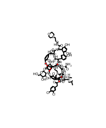 CN[C@H](CC(C)C)C(=O)N[C@H]1C(=O)N[C@@H](CC(N)=O)C(=O)N[C@H]2C(=O)N[C@H]3C(=O)N[C@H](C(=O)N[C@@H](C(=O)NOCCN4CCOCC4)c4cc(O)cc(O)c4-c4cc3ccc4O)[C@H](O)c3ccc(c(Cl)c3)Oc3cc2cc(c3O[C@@H]2O[C@H](CO)[C@@H](O)[C@H](O)[C@H]2O[C@H]2C[C@](C)(NCCn3ccc(NC(=O)Cc4ccc(Cl)c(Cl)c4)nc3=O)[C@H](O)[C@H](C)O2)Oc2ccc(cc2Cl)[C@H]1O